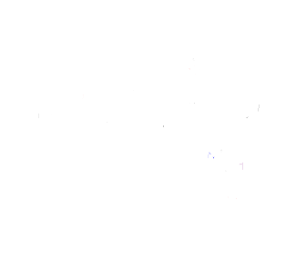 COCCOC(=O)[C@H](C)N[PH]=O